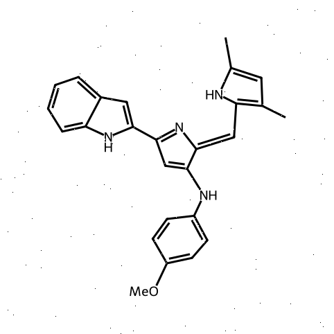 COc1ccc(NC2=CC(c3cc4ccccc4[nH]3)=N/C2=C\c2[nH]c(C)cc2C)cc1